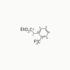 CCOC(=O)Cc1ccccc1C(F)(F)F